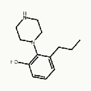 CCCc1cccc(O)c1N1CCNCC1